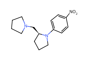 O=[N+]([O-])c1ccc(N2CCC[C@H]2CN2CCCC2)cc1